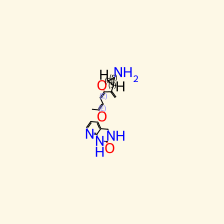 C=C1/C(=C\C=C(/C)Oc2ccnc3c2CNC(=O)N3)O[C@@H]2[C@@H](N)[C@H]12